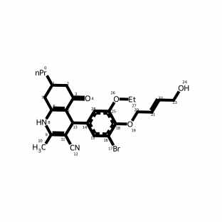 CCCC1CC(=O)C2=C(C1)NC(C)=C(C#N)C2c1cc(Br)c(OCC=CCO)c(OCC)c1